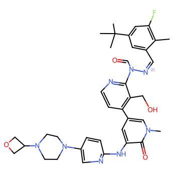 Cc1c(F)cc(C(C)(C)C)cc1/C=N\N(C=O)c1nccc(-c2cc(Nc3ccc(N4CCN(C5COC5)CC4)cn3)c(=O)n(C)c2)c1CO